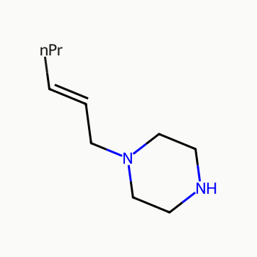 [CH2]CC/C=C/CN1CCNCC1